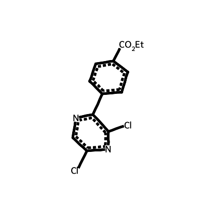 CCOC(=O)c1ccc(-c2ncc(Cl)nc2Cl)cc1